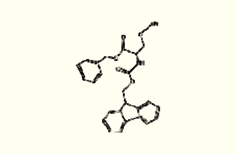 CCCOCC(NC(=O)OCC1c2ccccc2-c2ccccc21)C(=O)OCc1ccccc1